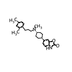 Cc1ccc(CCCN(C)[C@H]2CC[C@H](c3ccc4[nH]c(=O)oc4c3)CC2)c(C)c1